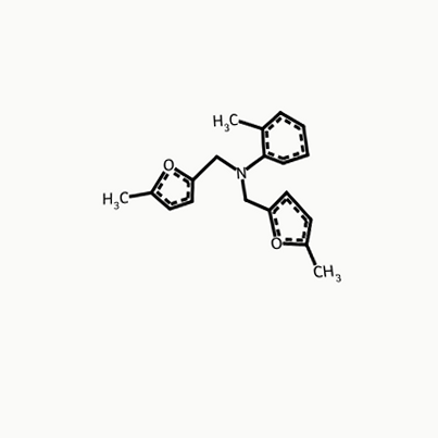 Cc1ccc(CN(Cc2ccc(C)o2)c2ccccc2C)o1